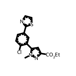 CCOC(=O)c1cc(-c2cc(-c3nccs3)ccc2Cl)n(C)n1